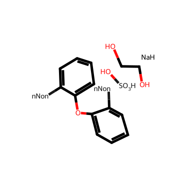 CCCCCCCCCc1ccccc1Oc1ccccc1CCCCCCCCC.O=S(=O)(O)O.OCCO.[NaH]